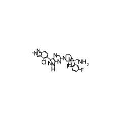 Cn1cc2c(Cl)c(-c3n[nH]c4nc(N5CC[C@@H]6[C@H](C5)[C@@]6(CN)c5cc(F)ccc5F)cnc34)ccc2n1